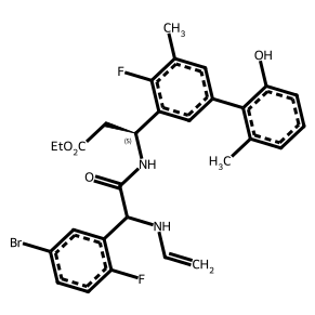 C=CNC(C(=O)N[C@@H](CC(=O)OCC)c1cc(-c2c(C)cccc2O)cc(C)c1F)c1cc(Br)ccc1F